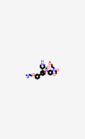 COCCCN1C(=O)COc2ccc(N(C(=O)[C@H]3CNCC[C@@H]3c3cccc(-c4cccc(OCCN(C)C)c4)c3)C3CC3)cc21